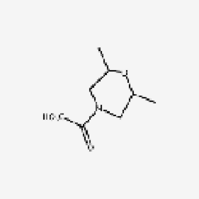 CC1CN(C(=O)C(=O)O)CC(C)O1